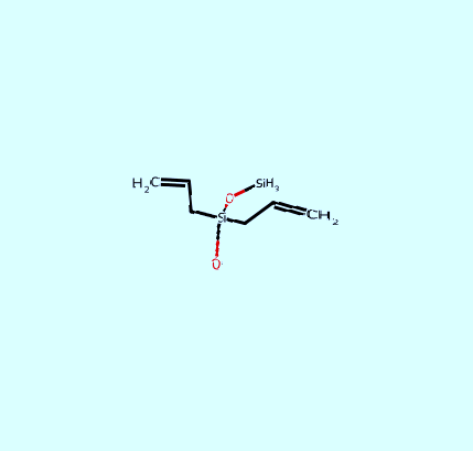 C=CC[Si]([O])(CC=C)O[SiH3]